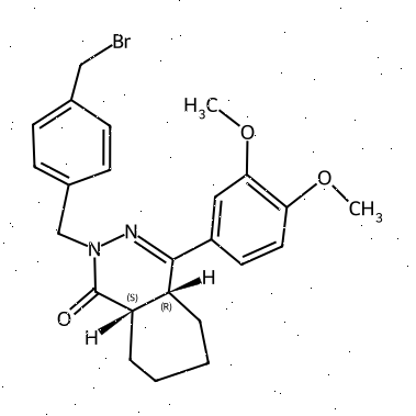 COc1ccc(C2=NN(Cc3ccc(CBr)cc3)C(=O)[C@H]3CCCC[C@@H]23)cc1OC